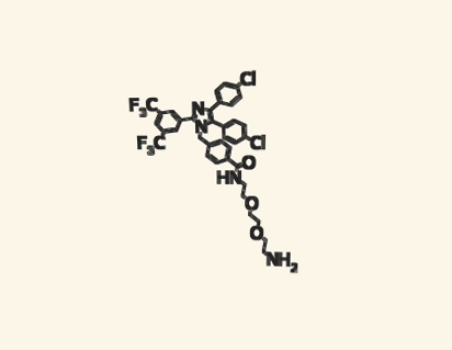 NCCOCCOCCNC(=O)c1ccc(Cn2c(-c3cc(C(F)(F)F)cc(C(F)(F)F)c3)nc(-c3ccc(Cl)cc3)c2-c2ccc(Cl)cc2)cc1